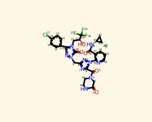 O=C1CN(C(=O)c2nc(Cn3nc(-c4ccc(Cl)cc4)n(C[C@H](O)C(F)(F)F)c3=O)nn2-c2ncccc2C(=O)N[C@@H]2C[C@@H]2F)CCN1